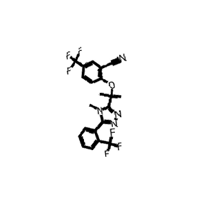 Cn1c(-c2ccccc2C(F)(F)F)nnc1C(C)(C)Oc1ccc(C(F)(F)F)cc1C#N